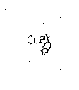 O[C@H](CC1CCCCC1)c1c(C2CC2)ccc2cncn12